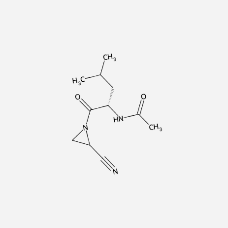 CC(=O)N[C@@H](CC(C)C)C(=O)N1CC1C#N